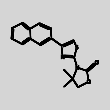 CC1(C)COC(=O)N1c1nc(-c2ccc3ccccc3c2)cs1